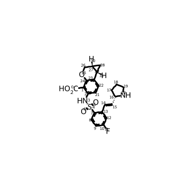 O=C(O)c1c(NS(=O)(=O)c2ccc(F)cc2C=C[C@@H]2CCCN2)ccc2c1OC[C@@H]1C[C@H]21